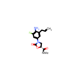 C=CCc1cc(N2C[C@H](C(=O)NC)OC2=O)cc(F)c1N